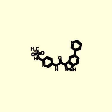 CS(=O)(=O)Nc1ccc(NC(=O)c2n[nH]c3ccc(-c4cccnc4)cc23)cn1